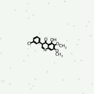 COc1cc2c(c(O)c1OC)C(=O)C(c1cccc(Cl)c1)C=N2